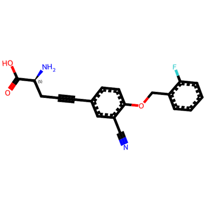 N#Cc1cc(C#CC[C@H](N)C(=O)O)ccc1OCc1ccccc1F